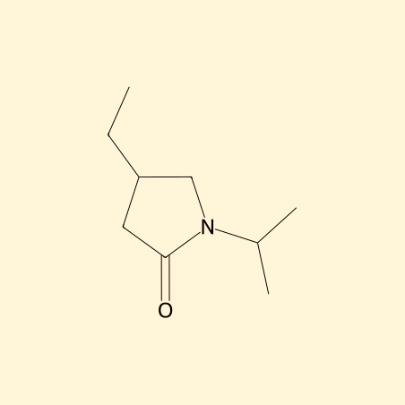 CCC1CC(=O)N(C(C)C)C1